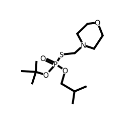 CC(C)COP(=O)(OC(C)(C)C)SCN1CCOCC1